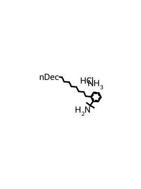 CCCCCCCCCCCCCCCCCCc1ccccc1C(C)(C)N.Cl.N